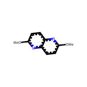 COc1ccc2nc(OC)ccc2n1